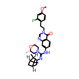 COc1ccc(CCn2cnc3cc(N/C(=N/C4C[C@@H]5C[C@H]([C@@H]4C)C5(C)C)N4CCO[C@@H](C)C4)ccc3c2=O)c(F)c1